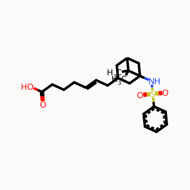 CC1(C)C2CC(CC=CCCCC(=O)O)CC1(NS(=O)(=O)c1ccccc1)C2